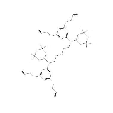 C=CCOc1nc(OCC=C)nc(N(CCNCCN(c2nc(OCC=C)nc(OCC=C)n2)C2CC(C)(C)NC(C)(C)C2)C2CC(C)(C)NC(C)(C)C2)n1